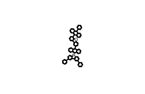 c1ccc(-c2ccc3c(c2)c2cc(-c4ccccc4)ccc2n3-c2c3ccccc3c(-c3ccc4oc5c(-c6c7ccccc7c(-c7ccccc7)c7ccccc67)cccc5c4c3)c3ccccc23)cc1